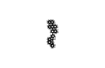 CC1(C)c2ccc(-c3ccc(-c4c5ccccc5c(-c5cccc6ccccc56)c5ccccc45)c4ccccc34)cc2-c2ccc3ccc4c5ccccc5sc4c3c21